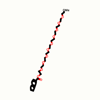 COCCOCCOCCOCCOCCOCCOCCOCCOCCOCCOC(=O)C1CC2CC1C1C3C=CC(C3)C21